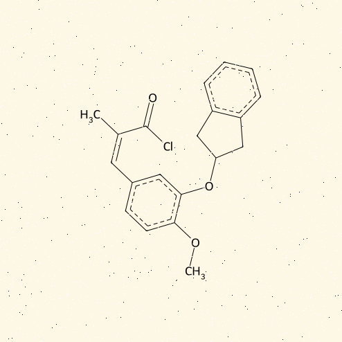 COc1ccc(C=C(C)C(=O)Cl)cc1OC1Cc2ccccc2C1